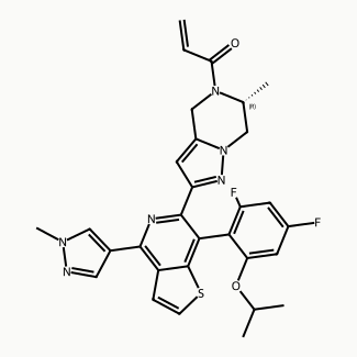 C=CC(=O)N1Cc2cc(-c3nc(-c4cnn(C)c4)c4ccsc4c3-c3c(F)cc(F)cc3OC(C)C)nn2C[C@H]1C